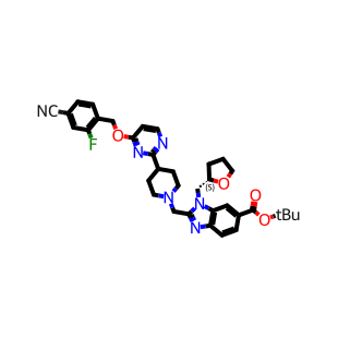 CC(C)(C)OC(=O)c1ccc2nc(CN3CCC(c4nccc(OCc5ccc(C#N)cc5F)n4)CC3)n(C[C@@H]3CCCO3)c2c1